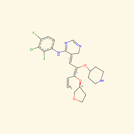 C=C/C(O[C@H]1CCOC1)=C(\C=C1/CN=CN=C1Nc1ccc(F)c(Cl)c1F)OC1CCNCC1